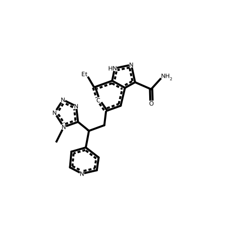 CCc1cc(C[C](c2ccncc2)c2nnnn2C)cc2c(C(N)=O)n[nH]c12